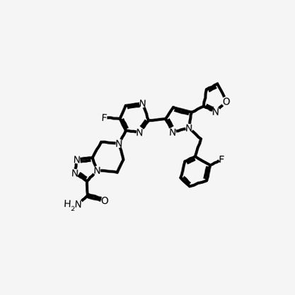 NC(=O)c1nnc2n1CCN(c1nc(-c3cc(-c4ccon4)n(Cc4ccccc4F)n3)ncc1F)C2